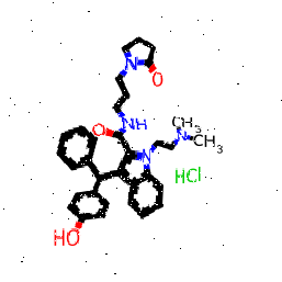 CN(C)CCn1c(C(=O)NCCCN2CCCC2=O)c(C(c2ccccc2)c2ccc(O)cc2)c2ccccc21.Cl